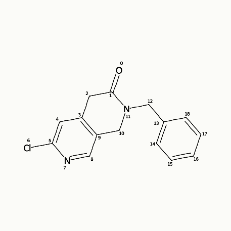 O=C1Cc2cc(Cl)ncc2CN1Cc1ccccc1